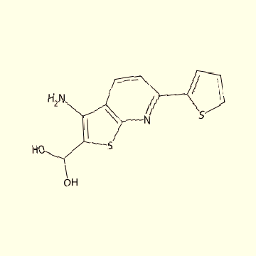 Nc1c(C(O)O)sc2nc(-c3cccs3)ccc12